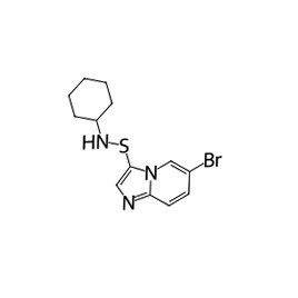 Brc1ccc2ncc(SNC3CCCCC3)n2c1